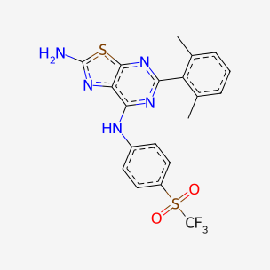 Cc1cccc(C)c1-c1nc(Nc2ccc(S(=O)(=O)C(F)(F)F)cc2)c2nc(N)sc2n1